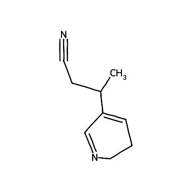 CC(CC#N)C1=CCCN=C1